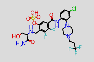 NC(=O)C(CO)NCc1c(OS(=O)(=O)O)cc(C(=O)Nc2ccc(Cl)cc2N2CCN(CCC(F)(F)F)CC2)c(F)c1F